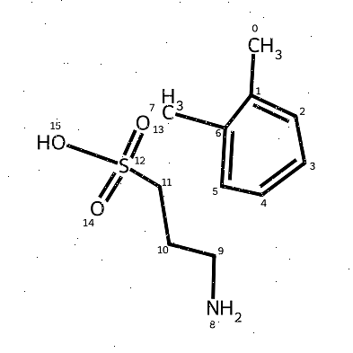 Cc1ccccc1C.NCCCS(=O)(=O)O